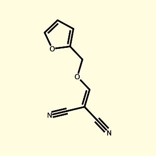 N#CC(C#N)=COCc1ccco1